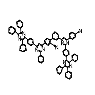 N#Cc1ccc(-c2cc(-c3cccc(-c4ccc(-c5cc(-c6ccc(-c7nc(-c8ccccc8)c(-c8ccccc8)nc7-c7ccccc7)cc6)nc(-c6ccccc6)n5)cc4C#N)c3)nc(-c3ccc(-c4nc(-c5ccccc5)c(-c5ccccc5)nc4-c4ccccc4)cc3)n2)cc1